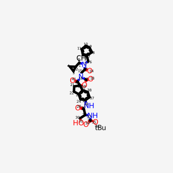 C[C@@H](C1CC1)N(Cc1ccccc1)C(=O)CN1C(=O)OC2(CCc3cc(NC(=O)C(CO)NC(=O)OC(C)(C)C)ccc32)C1=O